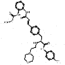 CC(C)(C)OC(=O)Nc1ccccc1NC(=O)/C=C/c1ccc(CC(NCCN2CCOCC2)C(=O)Nc2ccc(C(F)(F)F)cc2)cc1